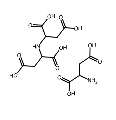 NC(CC(=O)O)C(=O)O.O=C(O)CC(NC(CC(=O)O)C(=O)O)C(=O)O